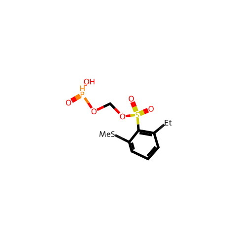 CCc1cccc(SC)c1S(=O)(=O)OCO[PH](=O)O